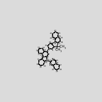 CC1(C)c2cc(-c3cc4c(c5ccccc35)c3ccccc3n4-c3ncc4ccccc4n3)ccc2-c2c1ccc1ccccc21